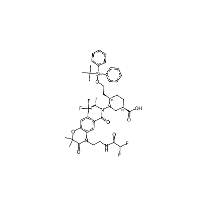 CC(C)N(C(=O)c1cc2c(cc1C(F)(F)F)OC(C)(C)C(=O)N2CCNC(=O)C(F)F)N1C[C@H](C(=O)O)CC[C@@H]1CCO[Si](c1ccccc1)(c1ccccc1)C(C)(C)C